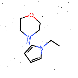 C1COCCN1.CCn1cccc1